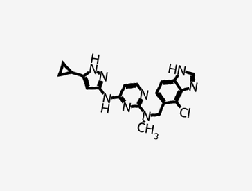 CN(Cc1ccc2[nH]cnc2c1Cl)c1nccc(Nc2cc(C3CC3)[nH]n2)n1